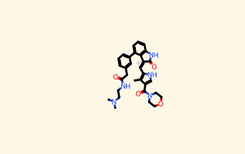 Cc1c(C(=O)N2CCOCC2)c[nH]c1/C=C1\C(=O)Nc2cccc(-c3cccc(CC(=O)NCCN(C)C)c3)c21